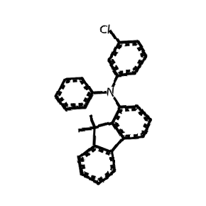 CC1(C)c2ccccc2-c2cccc(N(c3ccccc3)c3cccc(Cl)c3)c21